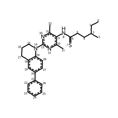 CCC(C)CCC(=S)Nc1c(C)nc(N2CCCc3cc(-c4ccccc4)ccc32)nc1C